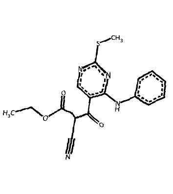 CCOC(=O)C(C#N)C(=O)c1cnc(SC)nc1Nc1ccccc1